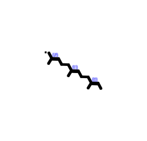 [CH2]/C(C)=C/CC/C(C)=C/CC/C(C)=C/C